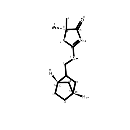 CC(C)[C@@]1(C)SC(NCC2C[C@@H]3CC[C@H]2C3)=NC1=O